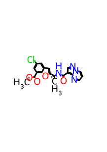 COC(=O)c1cc(Cl)cc2cc([C@H](C)NC(=O)c3cnn4cccnc34)oc12